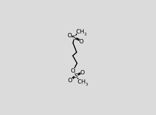 CS(=O)(=O)CCCCOS(C)(=O)=O